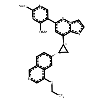 COc1ncc(-c2cc([C@H]3C[C@@H]3c3ccc4cncc(OCC(F)(F)F)c4c3)c3nccn3n2)c(OC)n1